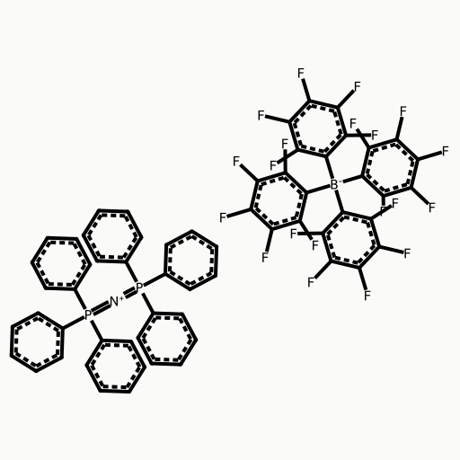 Fc1c(F)c(F)c([B-](c2c(F)c(F)c(F)c(F)c2F)(c2c(F)c(F)c(F)c(F)c2F)c2c(F)c(F)c(F)c(F)c2F)c(F)c1F.c1ccc(P(=[N+]=P(c2ccccc2)(c2ccccc2)c2ccccc2)(c2ccccc2)c2ccccc2)cc1